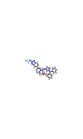 COc1ncc(-c2ccn3nc(N)nc3c2)cc1C(=O)Nc1cnn(C(c2ccccc2)c2ccccc2)c1